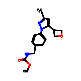 CC(C)(C)OC(=O)NCc1ccc(-n2nc(C(F)(F)F)cc2C2COC2)cc1